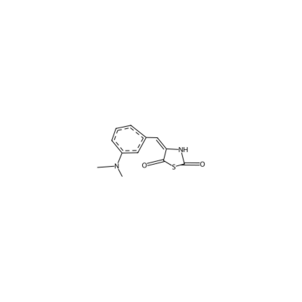 CN(C)c1cccc(C=C2NC(=O)SC2=O)c1